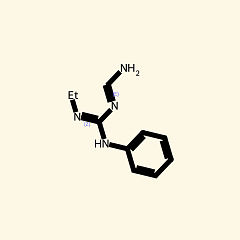 CC/N=C(\N=C\N)Nc1ccccc1